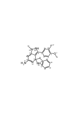 COc1ccc(C2=C3C(=NC(N)=NC3(N)Cc3ccccc3)N(C)N2)cc1F